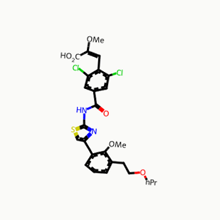 CCCOCCc1cccc(-c2csc(NC(=O)c3cc(Cl)c(/C=C(/OC)C(=O)O)c(Cl)c3)n2)c1OC